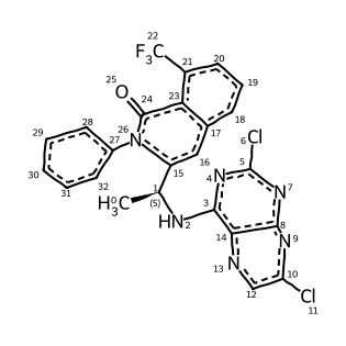 C[C@H](Nc1nc(Cl)nc2nc(Cl)cnc12)c1cc2cccc(C(F)(F)F)c2c(=O)n1-c1ccccc1